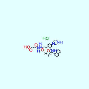 CC(NC(=O)c1cc(N2CCCNCC2)ccc1CCC(=O)NNC(=O)/C=C/C(=O)O)c1cccc2ccccc12.Cl